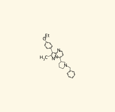 CCOc1ccc(-c2c(C)nn3c(C4CCCN(Cc5ccccc5)C4)ccnc23)cc1